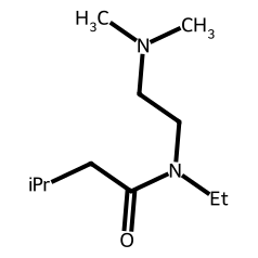 CCN(CCN(C)C)C(=O)CC(C)C